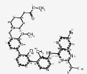 COC(=O)CC1CCN(Cc2ccc(-c3cccc(-c4cccc(Nc5nc(C(F)F)nc6cc(Br)cnc56)c4C)c3Cl)nc2OC)CC1